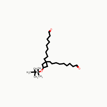 CC(C)(C)[Si](C)(C)OC1CC(CCCCCCCCC=O)(CCCCCCCCC=O)C1